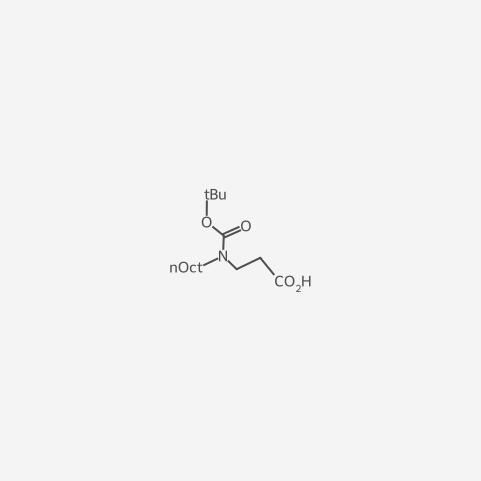 CCCCCCCCN(CCC(=O)O)C(=O)OC(C)(C)C